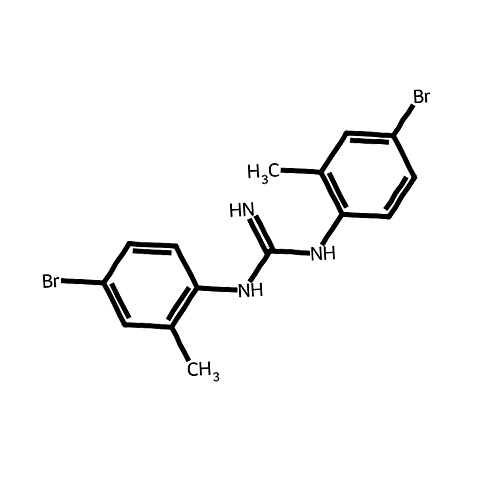 Cc1cc(Br)ccc1NC(=N)Nc1ccc(Br)cc1C